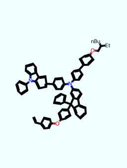 C=Cc1ccc(Oc2ccc(C3(c4ccccc4)c4ccccc4-c4ccc(N(c5ccc(-c6ccc(OCC(CC)CCCC)cc6)cc5)c5ccc(-c6ccc7c(c6)c6ccccc6n7-c6ccccc6)cc5)cc43)cc2)cc1